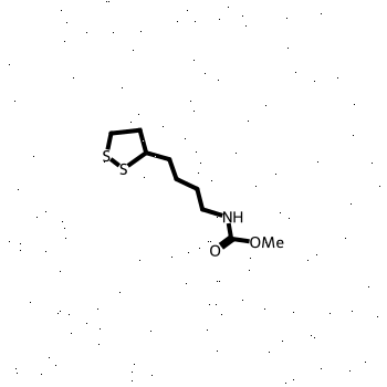 COC(=O)NCCCCC1CCSS1